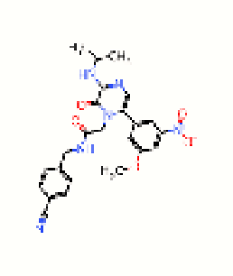 COc1cc(-c2cnc(NC(C)C)c(=O)n2CC(=O)NCc2ccc(C#N)cc2)cc([N+](=O)[O-])c1